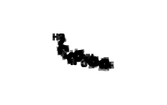 O=C(Nc1ccc2cc(CN3CCC(CCO)CC3)cnc2c1)c1ccc(-c2ccc(F)cc2)cc1